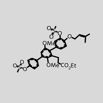 CCOC(=O)CCc1c(OC)c(-c2ccc(OS(C)(=O)=O)cc2)cc(OC)c1-c1ccc(OCC=C(C)C)c(OS(C)(=O)=O)c1